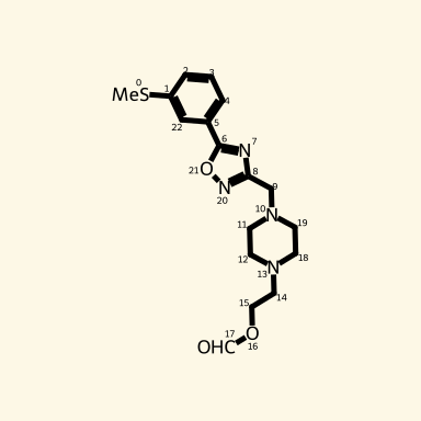 CSc1cccc(-c2nc(CN3CCN(CCOC=O)CC3)no2)c1